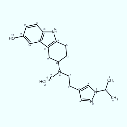 CC(C)n1cc(CCN(C)C2CCc3[nH]c4ccc(O)cc4c3C2)cn1.Cl